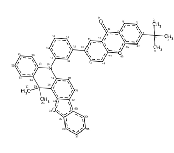 CC(C)(C)c1ccc2c(=O)c3cc(-c4cccc(N5c6ccccc6C(C)(C)c6c5ccc5c6oc6ccccc65)c4)ccc3oc2c1